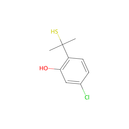 CC(C)(S)c1ccc(Cl)cc1O